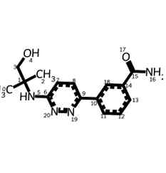 CC(C)(CO)Nc1ccc(-c2cccc(C(N)=O)c2)nn1